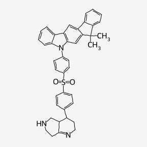 CC1(C)c2ccccc2-c2cc3c4ccccc4n(-c4ccc(S(=O)(=O)c5ccc(C6CCN=C7CCNCC76)cc5)cc4)c3cc21